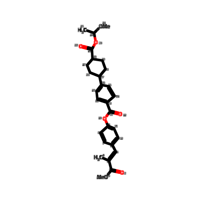 COC(=O)/C(C)=C/c1ccc(OC(=O)c2ccc(C3CCC(C(=O)OC(C)OC)CC3)cc2)cc1